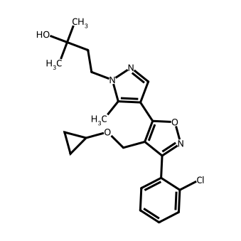 Cc1c(-c2onc(-c3ccccc3Cl)c2COC2CC2)cnn1CCC(C)(C)O